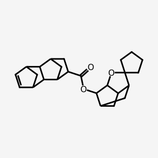 O=C(OC1C2CC3C1OC1(CCCC1)C3C2)C1CC2CC1C1C3C=CC(C3)C21